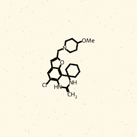 C=C1Nc2c(Cl)cc3cc(CN4CCC(OC)CC4)oc3c2C2(CCCCC2)N1